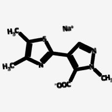 Cc1nc(-c2cnn(C)c2C(=O)[O-])sc1C.[Na+]